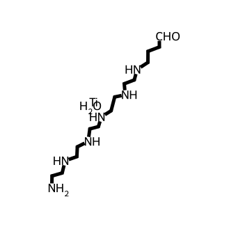 NCCNCCNCCNCCNCCNCCCC=O.O.[Ti]